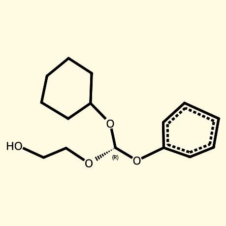 OCCO[C@@H](Oc1ccccc1)OC1CCCCC1